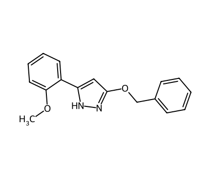 COc1ccccc1-c1cc(OCc2ccccc2)n[nH]1